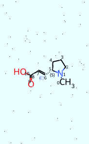 CN1CCC[C@H]1/C=C/C(=O)O